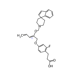 C=C/C=C(/COc1ccc(CCC(=O)O)c(F)c1)OCN1CCC2(C=Cc3ccccc32)CC1